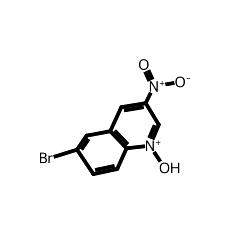 O=[N+]([O-])c1cc2cc(Br)ccc2[n+](O)c1